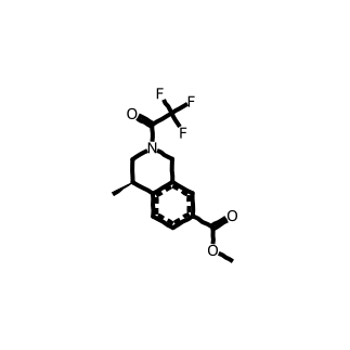 COC(=O)c1ccc2c(c1)CN(C(=O)C(F)(F)F)C[C@@H]2C